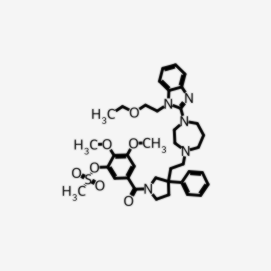 CCOCCn1c(N2CCCN(CCC3(c4ccccc4)CCN(C(=O)c4cc(OC)c(OC)c(OS(C)(=O)=O)c4)C3)CC2)nc2ccccc21